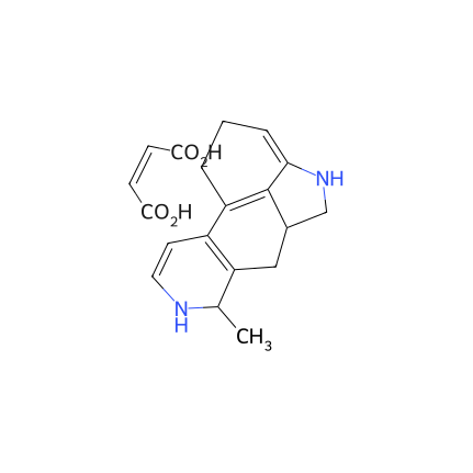 CC1NC=CC2=C1CC1CNC3=CCCC2=C31.O=C(O)/C=C\C(=O)O